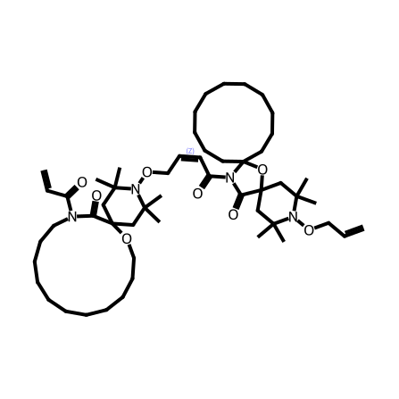 C=CCON1C(C)(C)CC2(CC1(C)C)OC1(CCCCCCCCCCC1)N(C(=O)/C=C\CON1C(C)(C)CC3(CC1(C)C)OCCCCCCCCCCCN(C(=O)C=C)C3=O)C2=O